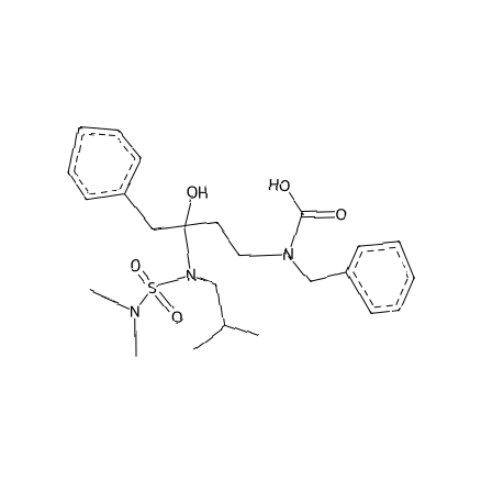 CC(C)CN(C(O)(CCN(Cc1ccccc1)C(=O)O)Cc1ccccc1)S(=O)(=O)N(C)C